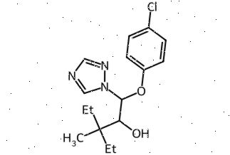 CCC(C)(CC)C(O)C(Oc1ccc(Cl)cc1)n1cncn1